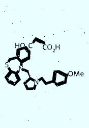 COc1ccc(CCN2CCC[C@H]2CN2c3ccccc3CSc3ccccc32)cc1.O=C(O)/C=C\C(=O)O